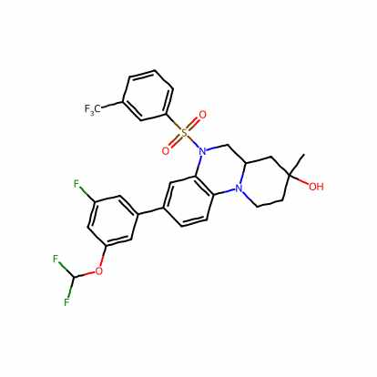 CC1(O)CCN2c3ccc(-c4cc(F)cc(OC(F)F)c4)cc3N(S(=O)(=O)c3cccc(C(F)(F)F)c3)CC2C1